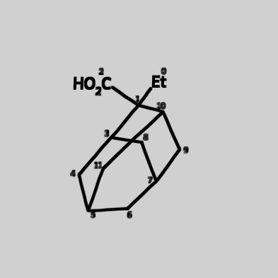 CCC1(C(=O)O)C2CC3CC(C2)CC1C3